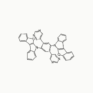 c1ccc2c(c1)oc1c2c2ccccc2n1-c1cc(-c2cncnc2)c(-n2c3ccccc3c3c4ccccc4oc32)cc1-c1cncnc1